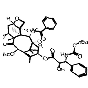 CC(=O)O[C@H]1C(=O)[C@@]2(C)[C@H]([C@H](OC(=O)c3ccccc3)[C@@]3(O)C[C@@H](OC(=O)[C@H](O)[C@@H](NC(=O)OC(C)(C)C)c4ccccc4)C(C)=C1C3(C)C)[C@]1(OC(C)=O)CO[C@H]1C[C@@H]2O